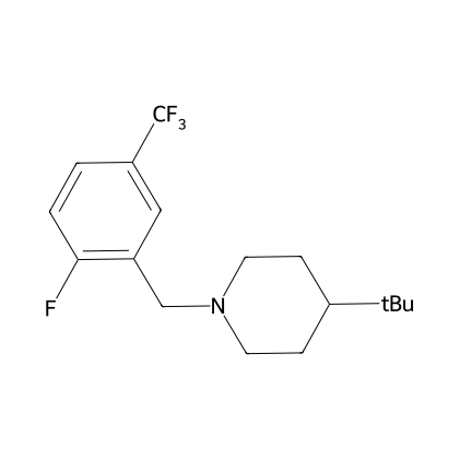 CC(C)(C)C1CCN(Cc2cc(C(F)(F)F)ccc2F)CC1